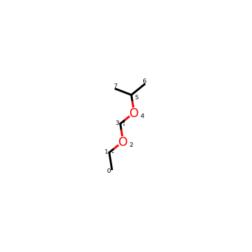 C[CH]O[C]OC(C)C